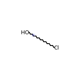 OCC/C=C/CCCCCCCCCCCCCl